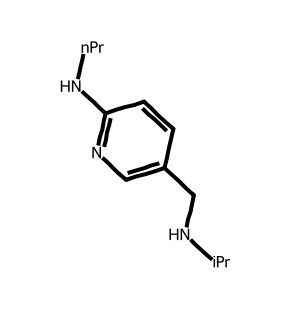 CCCNc1ccc(CNC(C)C)cn1